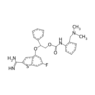 CN(C)Cc1ccccc1NC(=O)OCC(Oc1cc(F)cc2sc(C(=N)N)cc12)c1ccccc1